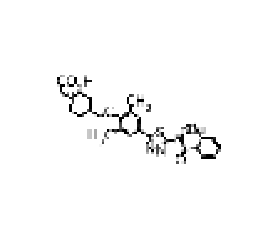 CCCCN(C(=O)C1C=CC=CC1Cl)c1nnc(-c2cc(C)c(OCC3CCN(CC(=O)O)CC3)c(C)c2)s1